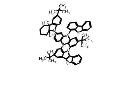 CC(C)(C)c1cc2c3c(c1)-n1c4c(cc(C(C)(C)C)cc4c4oc5ccccc5c41)B3c1ccc(N3c4ccc(C(C)(C)C)cc4C4(C)CCCCC34C)cc1N2c1cccc2c1sc1ccccc12